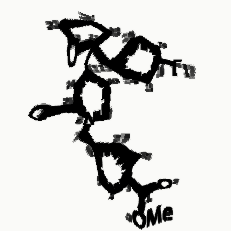 COC(=O)c1ccc(Cn2ccc([C@]3(c4ccc(F)cc4)CCCO3)cc2=O)cc1